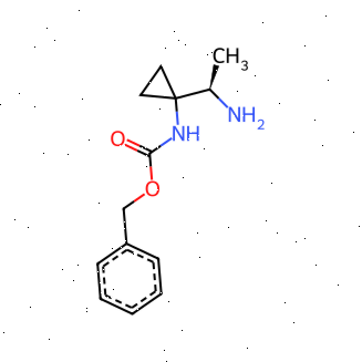 C[C@@H](N)C1(NC(=O)OCc2ccccc2)CC1